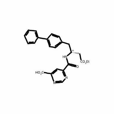 CCOC(=O)C[C@@H](Cc1ccc(-c2ccccc2)cc1)NC(=O)c1cc(C(=O)O)ncn1